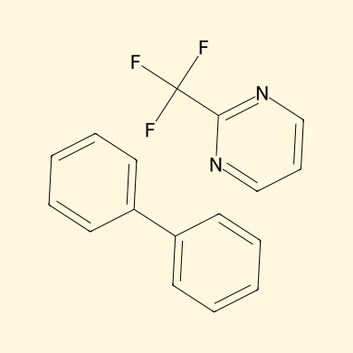 FC(F)(F)c1ncccn1.c1ccc(-c2ccccc2)cc1